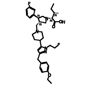 CCOc1ccc(Cc2cc(C3CCN(C[C@H]4CN([C@@H](C(=O)O)[C@@H](C)CC)C[C@@H]4c4cccc(F)c4)CC3)n(CCF)n2)cc1